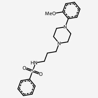 COc1ccccc1N1CCN(CCCNS(=O)(=O)c2ccccc2)CC1